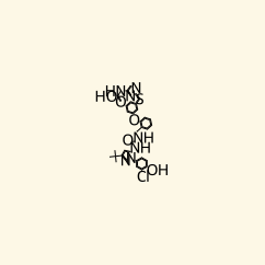 CC(C)(C)c1cc(NC(=O)NCc2ccccc2Oc2ccc3c(c2)sc2ncc(NC(=O)O)n23)n(-c2ccc(O)c(Cl)c2)n1